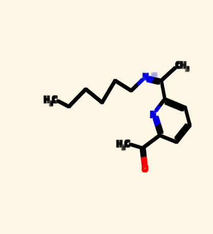 CCCCCC/N=C(/C)c1cccc(C(C)=O)n1